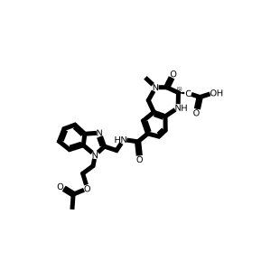 CC(=O)OCCn1c(CNC(=O)c2ccc3c(c2)CN(C)C(=O)[C@H](CC(=O)O)N3)nc2ccccc21